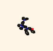 c1ccc(N(c2ccccc2)c2ccc3c(c2)c2c4ccc(N(c5ccc6ccccc6c5)c5ccc6oc7ccccc7c6c5)cc4n(-c4ccccc4)c2n3-c2ccccc2)cc1